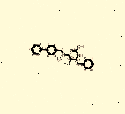 NN(Cc1ccc(-c2ccccn2)cc1)C[C@H](O)[C@H](Cc1ccccc1)NC(=O)O